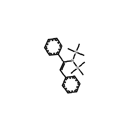 C[Si](C)(C)N(C(=Cc1ccccc1)c1ccccc1)[Si](C)(C)C